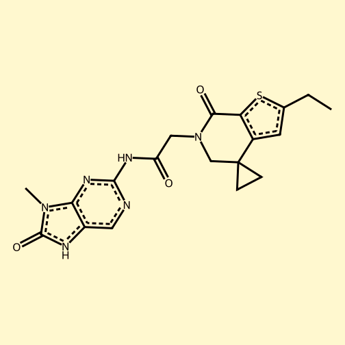 CCc1cc2c(s1)C(=O)N(CC(=O)Nc1ncc3[nH]c(=O)n(C)c3n1)CC21CC1